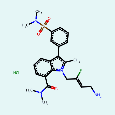 Cc1c(-c2cccc(S(=O)(=O)N(C)C)c2)c2cccc(C(=O)N(C)C)c2n1CC(F)=CCN.Cl